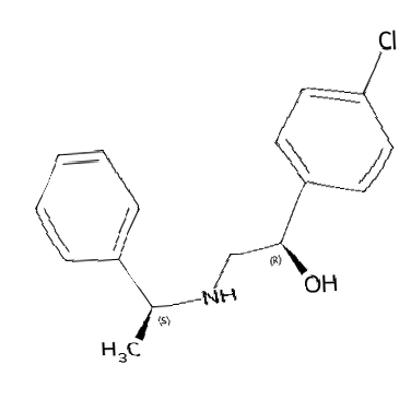 C[C@H](NC[C@H](O)c1ccc(Cl)cc1)c1ccccc1